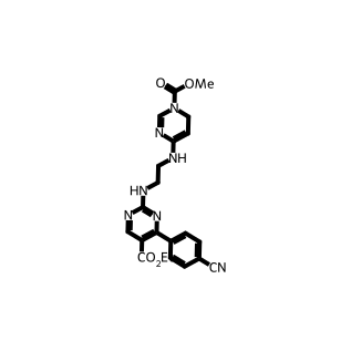 CCOC(=O)c1cnc(NCCNC2=CCN(C(=O)OC)C=N2)nc1-c1ccc(C#N)cc1